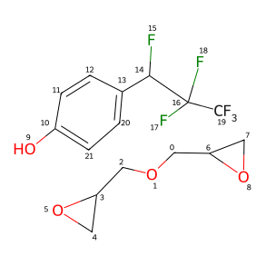 C(OCC1CO1)C1CO1.Oc1ccc(C(F)C(F)(F)C(F)(F)F)cc1